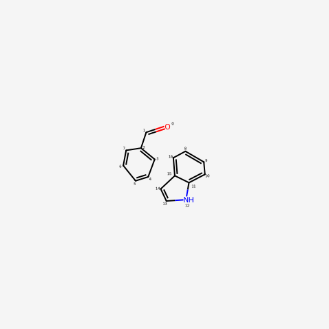 O=Cc1ccccc1.c1ccc2[nH]ccc2c1